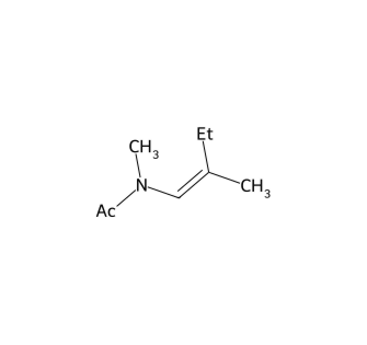 CC/C(C)=C\N(C)C(C)=O